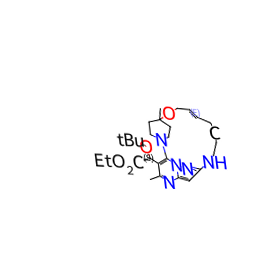 CCOC(=O)[C@@H](OC(C)(C)C)c1c(C)nc2cc3nn2c1N1CCC(C)(CC1)OC/C=C/CCCCN3